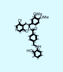 COc1ccc([C@H](Cc2c(Cl)cncc2Cl)OC(=O)c2ccc(CNc3ccccc3O)cc2)cc1OC